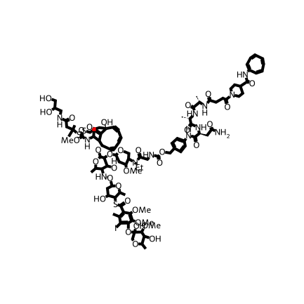 CCN(C(=O)CNC(=O)OCc1ccc(NC(=O)[C@H](CC(N)=O)NC(=O)[C@H](C)NC(=O)[C@H](C)NC(=O)CCC(=O)N2CCC(C(=O)NC3=C/C=C\C=C/C=C\3)CC2)cc1)C1COC(OC2C(O[C@H]3C#C/C=C\C#C[C@]4(O)CC(=O)C(NC(=O)OC)C3/C4=C\CSSC(C)(C)CC(=O)NCC(O)CO)OC(C)C(NOC3CC(O)C(SC(=O)c4c(C)c(I)c(OC5(O)COC(C)C(O)C5OC)c(OC)c4OC)C(C)O3)C2O)CC1OC